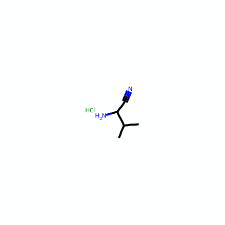 CC(C)C(N)C#N.Cl